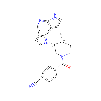 C[C@@H]1CCN(C(=O)c2ccc(C#N)cc2)C[C@@H]1n1ccc2cnc3[nH]ccc3c21